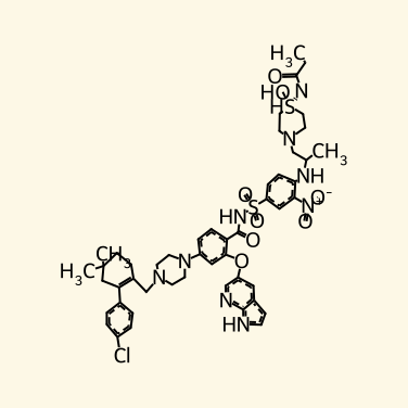 CCC(=O)N=[SH]1(O)CCN(CC(C)Nc2ccc(S(=O)(=O)NC(=O)c3ccc(N4CCN(CC5=C(c6ccc(Cl)cc6)CC(C)(C)CC5)CC4)cc3Oc3cnc4[nH]ccc4c3)cc2[N+](=O)[O-])CC1